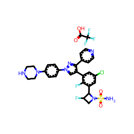 NS(=O)(=O)N1CC(F)C1c1cc(Cl)cc(-c2cn(-c3ccc(N4CCNCC4)cc3)nc2-c2ccncc2)c1F.O=C(O)C(F)(F)F